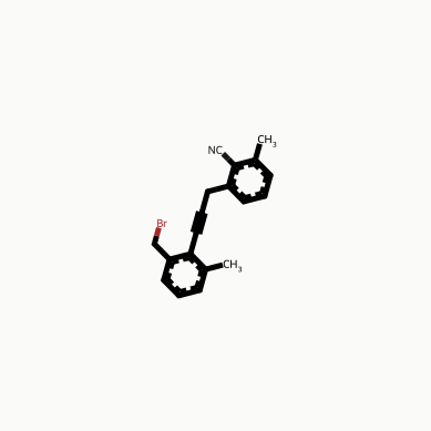 Cc1cccc(CBr)c1C#CCc1cccc(C)c1C#N